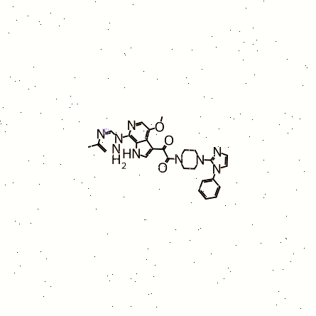 C=C(C)/N=C\N(N)c1ncc(OC)c2c(C(=O)C(=O)N3CCN(c4nccn4-c4ccccc4)CC3)c[nH]c12